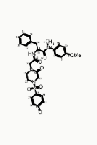 COc1ccc(N(C)C(=O)[C@H](Cc2ccccc2)NC(=O)CN2CCN(S(=O)(=O)c3ccc(Cl)cc3)CC2=O)cc1